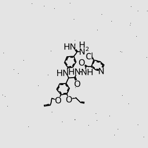 C=CCOc1ccc(C(Nc2ccc(C(=N)N)cc2)C(=O)NNC(=O)c2cnccc2Cl)cc1OCC=C